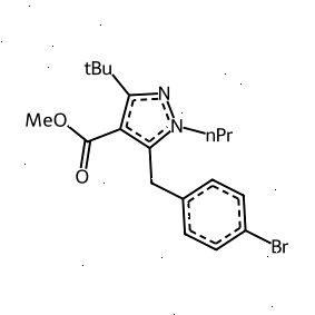 CCCn1nc(C(C)(C)C)c(C(=O)OC)c1Cc1ccc(Br)cc1